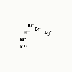 [Ag+].[Br-].[Br-].[Br-].[Br-].[In+3]